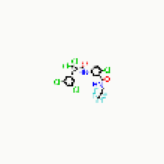 O=C(NCC(F)(F)C(F)(F)F)c1cc(NC(=O)C2C(c3cc(Cl)cc(Cl)c3)C2(Cl)Cl)ccc1Cl